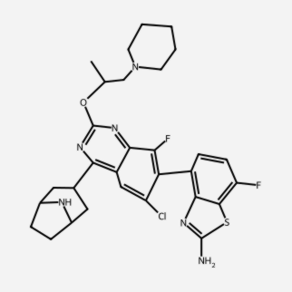 CC(CN1CCCCC1)Oc1nc(C2CC3CCC(C2)N3)c2cc(Cl)c(-c3ccc(F)c4sc(N)nc34)c(F)c2n1